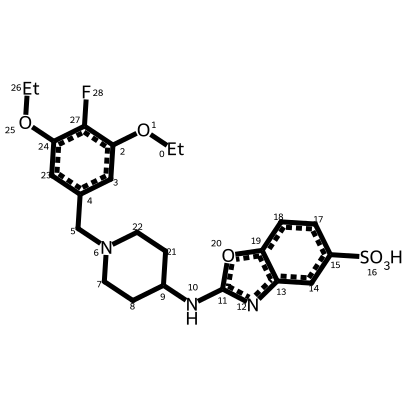 CCOc1cc(CN2CCC(Nc3nc4cc(S(=O)(=O)O)ccc4o3)CC2)cc(OCC)c1F